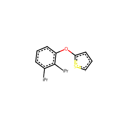 CC(C)c1cccc(Oc2cc[c]s2)c1C(C)C